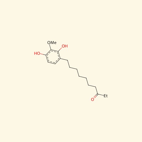 CCC(=O)CCCCCCCc1ccc(O)c(OC)c1O